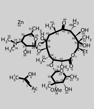 CC(=O)/C=C(/C)O.CC[C@H]1OC(=O)[C@H](C)[C@@H](O[C@H]2C[C@@](C)(OC)[C@@H](O)[C@H](C)O2)[C@H](C)[C@@H](O[C@@H]2O[C@H](C)C[C@H](N(C)C)[C@H]2O)[C@](C)(O)C[C@@H](C)C(=O)[C@H](C)[C@@H](O)[C@]1(C)O.[Zn]